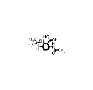 CC(=O)Nc1ccc(BC(C)(C)C)cc1B(O)O